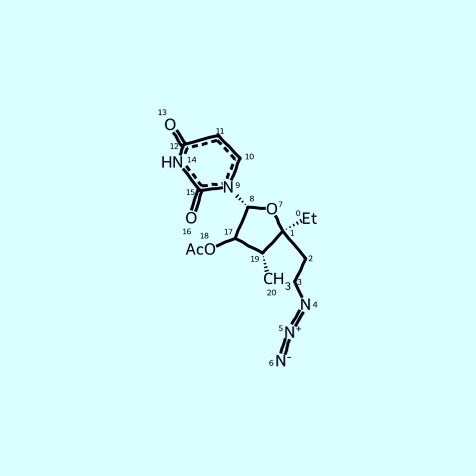 CC[C@@]1(CCN=[N+]=[N-])O[C@@H](n2ccc(=O)[nH]c2=O)C(OC(C)=O)[C@H]1C